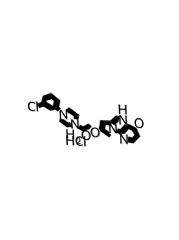 Cl.O.O=C1CC=NC2=C1NC=C1C=C(OCCN3CCN(c4cccc(Cl)c4)CC3)CN12